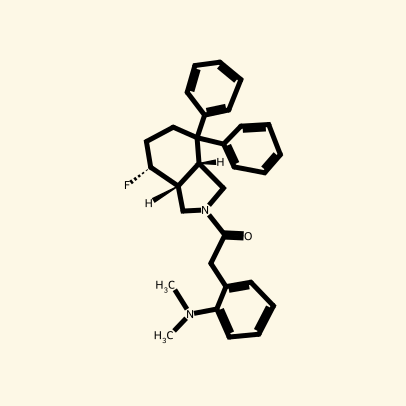 CN(C)c1ccccc1CC(=O)N1C[C@@H]2[C@H](F)CCC(c3ccccc3)(c3ccccc3)[C@@H]2C1